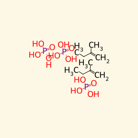 C=C(C)CC.C=C(C)CC.O=P(O)(O)O.O=P(O)(O)O.O=P(O)(O)O